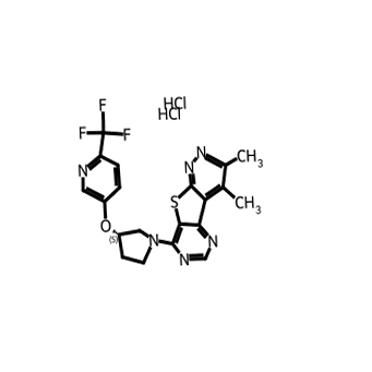 Cc1nnc2sc3c(N4CC[C@H](Oc5ccc(C(F)(F)F)nc5)C4)ncnc3c2c1C.Cl.Cl